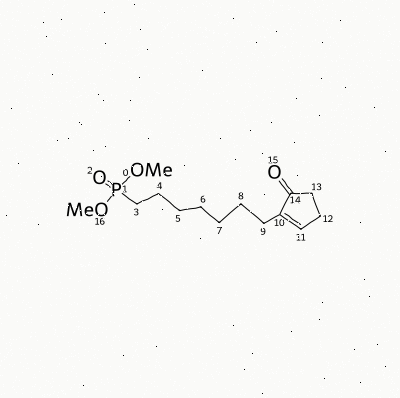 COP(=O)(CCCCCCCC1=CCCC1=O)OC